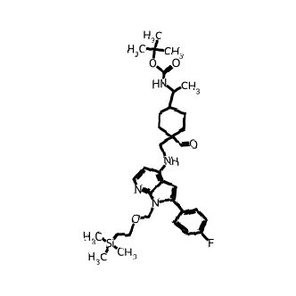 CC(NC(=O)OC(C)(C)C)C1CCC(C=O)(CNc2ccnc3c2cc(-c2ccc(F)cc2)n3COCC[Si](C)(C)C)CC1